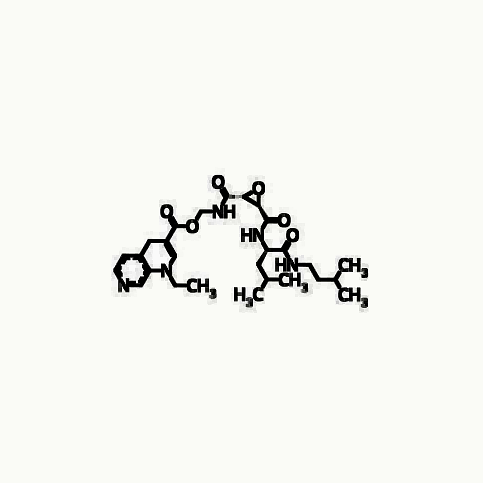 CCN1C=C(C(=O)OCNC(=O)[C@@H]2O[C@H]2C(=O)N[C@H](CC(C)C)C(=O)NCCC(C)C)Cc2ccncc21